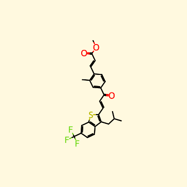 COC(=O)C=Cc1ccc(C(=O)C=Cc2sc3cc(C(F)(F)F)ccc3c2CC(C)C)cc1C